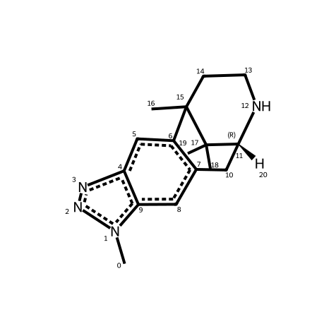 Cn1nnc2cc3c(cc21)C[C@H]1NCCC3(C)C1(C)C